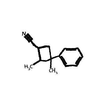 CC1C(C#N)CC1(C)c1ccccc1